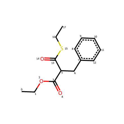 CCOC(=O)C(Cc1ccccc1)C(=O)SCC